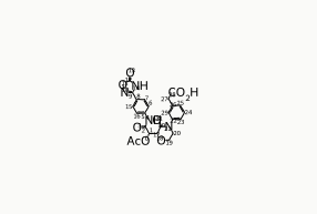 CC(=O)O[C@@H](C(=O)Nc1ccc(-c2noc(=O)[nH]2)cc1)[C@H]1OCCN(c2cccc(CC(=O)O)c2)C1=O